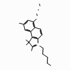 CC1=[N+](CCCCS(=O)(=O)O)c2ccc3c(SOOO)cc(S(=O)(=O)O)cc3c2C1(C)C